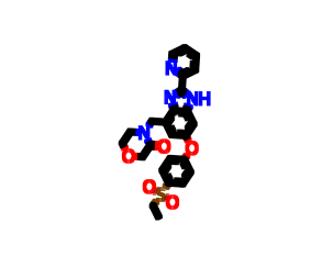 CCS(=O)(=O)c1ccc(Oc2cc(CN3CCOCC3=O)c3nc(-c4ccccn4)[nH]c3c2)cc1